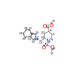 COC(=O)C1CCN(C(=O)OC)C(Cn2cc3ccccc3c2)C1